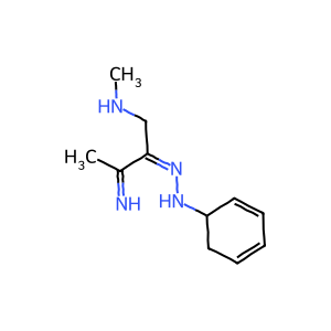 CNC/C(=N/NC1C=CC=CC1)C(C)=N